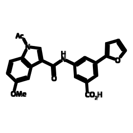 COc1ccc2c(c1)c(C(=O)Nc1cc(C(=O)O)cc(-c3ccco3)c1)cn2C(C)=O